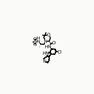 C[C@@H](CN1CC(C)(C)OC[C@H]1C(=O)Nc1cc(Cl)cc2c1[nH]c1cnccc12)NS(C)(=O)=O